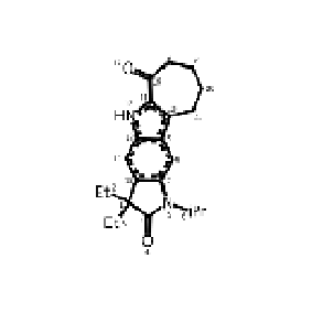 CCC1(CC)C(=O)N(C(C)C)c2cc3c4c([nH]c3cc21)C(=O)CCCC4